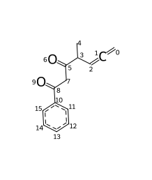 C=C=CC(C)C(=O)CC(=O)c1ccccc1